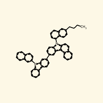 CCCCc1ccc2c(-n3c4ccc(-c5ccc6c7ccccc7n(-c7ccc8ccccc8c7)c6c5)cc4c4c5ccccc5ccc43)cccc2c1